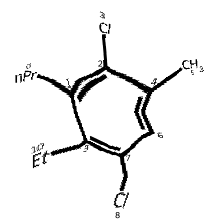 CCCc1c(Cl)c(C)cc(Cl)c1CC